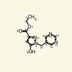 CCOC(=O)c1cc(O)n(Cc2cncnc2)n1